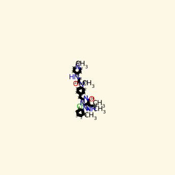 Cc1cccc(Cl)c1-n1[nH]c(C(C)C)c2c(=O)nc(Cc3ccc(N(C)C(=O)CNC4CCN(C)CC4)cc3)nc1-2